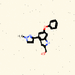 Cn1ccc(-c2cc(Oc3ccccc3)cc3[nH]c(CO)cc23)n1